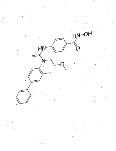 C=C(Nc1ccc(C(=O)NO)cc1)N(CCOC)c1ccc(-c2ccccc2)cc1C